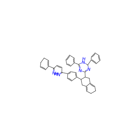 N=C(/C=C\C(=N)c1ccc(C2CC3=CCCC=C3CC2C2=NC(c3ccccc3)NC(c3ccccc3)=N2)cc1)C1=CCCC=C1